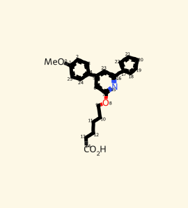 COc1ccc(-c2cc(OCCCCCC(=O)O)nc(-c3ccccc3)c2)cc1